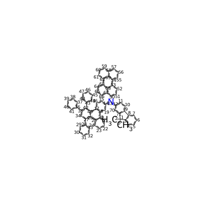 CC1(C)c2ccccc2-c2ccc(N(c3ccc4c(c3)c3ccccc3c3c(-c5ccccc5)cc(-c5ccccc5)c(-c5ccccc5)c43)c3ccc4c5cccc6cccc(c7cccc3c74)c65)cc21